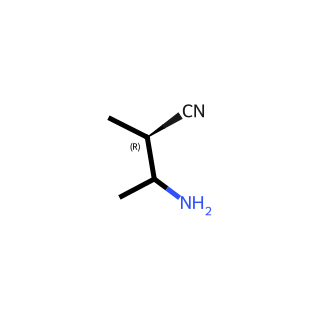 CC(N)[C@@H](C)C#N